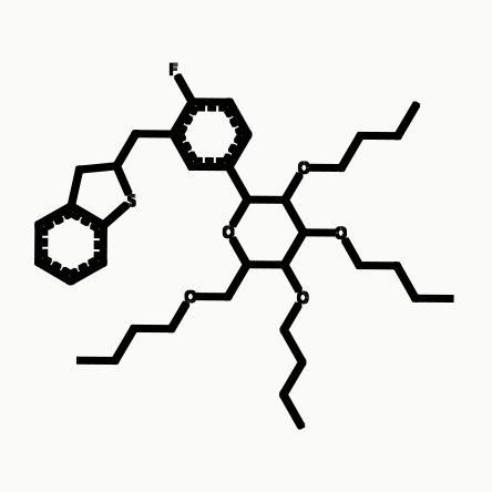 CCCCOCC1OC(c2ccc(F)c(CC3Cc4ccccc4S3)c2)C(OCCCC)C(OCCCC)C1OCCCC